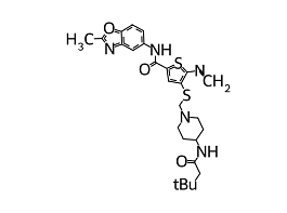 C=Nc1sc(C(=O)Nc2ccc3oc(C)nc3c2)cc1SCN1CCC(NC(=O)CC(C)(C)C)CC1